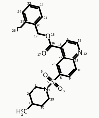 CC1CCN(S(=O)(=O)c2ccc3nccc(C(=O)OCc4ccccc4F)c3c2)CC1